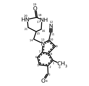 Cc1c(C=O)ccc2c1cc(C#N)n2CC1CNC(=O)NC1